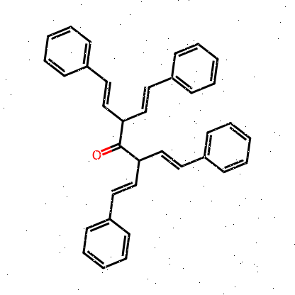 O=C(C(C=Cc1ccccc1)/C=C/c1ccccc1)C(C=Cc1ccccc1)/C=C/c1ccccc1